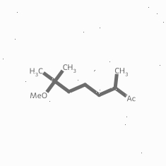 [CH2]C(=O)C(C)CCCC(C)(C)OC